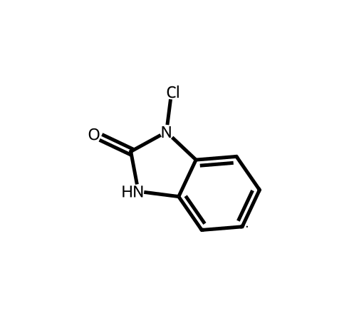 O=c1[nH]c2c[c]ccc2n1Cl